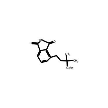 COC(C)(C)CCc1cccc2c1C(=O)NC2=O